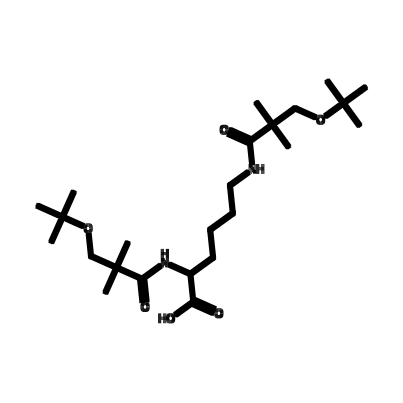 CC(C)(C)OCC(C)(C)C(=O)NCCCCC(NC(=O)C(C)(C)COC(C)(C)C)C(=O)O